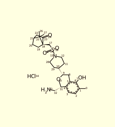 Cc1ccc2c(c1O)C[C@@H](C1CCN(S(=O)(=O)C[C@]34CCC(CC3=O)C4(C)C)CC1)O[C@H]2CN.Cl